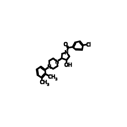 Cc1cccc(N2CCN(C3CN(C(=O)c4ccc(Cl)cc4)CC3O)CC2)c1C